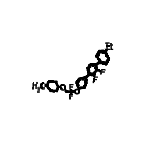 CCc1ccc(-c2ccc(-c3ccc(OC(F)(F)COC4CCC(C)CC4)cc3)c(F)c2F)cc1